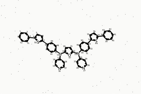 c1ccc(-c2ccc(-c3ccc(N(c4ccncc4)c4ccc(N(c5ccncc5)c5ccc(-c6ccc(-c7ccccc7)s6)cc5)o4)cc3)s2)cc1